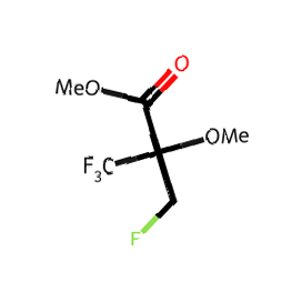 COC(=O)C(CF)(OC)C(F)(F)F